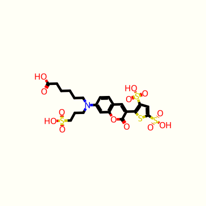 O=C(O)CCCCCN(CCCS(=O)(=O)O)c1ccc2cc(-c3sc(S(=O)(=O)O)cc3S(=O)(=O)O)c(=O)oc2c1